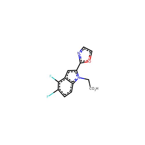 O=C(O)Cn1c(-c2ncco2)cc2c(F)c(F)ccc21